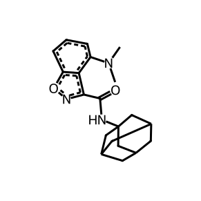 CN(C)c1cccc2onc(C(=O)NC34CC5CC(CC(C5)C3)C4)c12